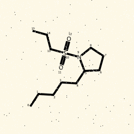 CCCCCC1CCCN1S(=O)(=O)CCC